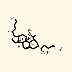 CCOC(C)C1C[C@H](C(CCCC(=O)O)C(=O)O)CC2=CC[C@H]3[C@@H]4CC[C@H]([C@H](C)CCCC(C)C)[C@@]4(C)CC[C@@H]3[C@]21C